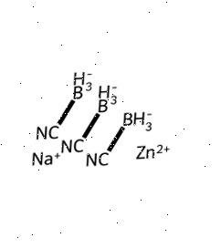 [BH3-]C#N.[BH3-]C#N.[BH3-]C#N.[Na+].[Zn+2]